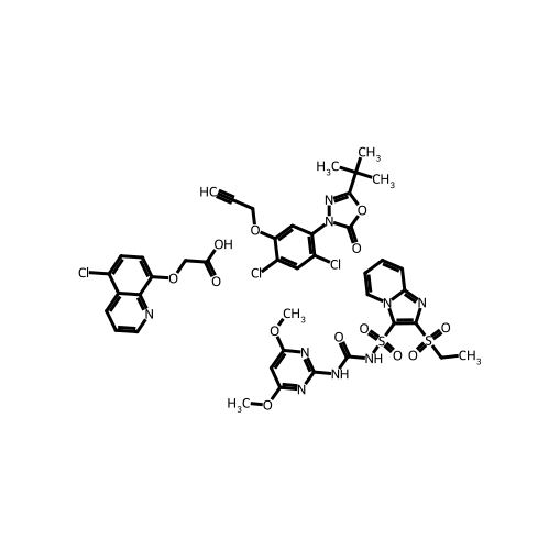 C#CCOc1cc(-n2nc(C(C)(C)C)oc2=O)c(Cl)cc1Cl.CCS(=O)(=O)c1nc2ccccn2c1S(=O)(=O)NC(=O)Nc1nc(OC)cc(OC)n1.O=C(O)COc1ccc(Cl)c2cccnc12